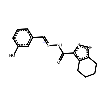 O=C(N/N=C/c1cccc(O)c1)c1n[nH]c2c1CCCC2